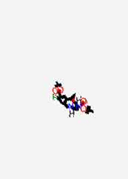 CC(C)(C)OC(=O)c1cc(C2CC2)c(CN2C[C@@H]3C[C@H]2CN3C(=O)OC(C)(C)C)cc1F